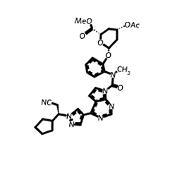 COC(=O)[C@@H]1C[C@H](OC(C)=O)C[C@H](Oc2ccccc2N(C)C(=O)n2ccc3c(-c4cnn([C@H](CC#N)C5CCCC5)c4)ncnc32)O1